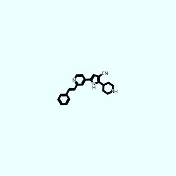 N#Cc1cc(-c2ccnc(C=Cc3ccccc3)c2)[nH]c1C1CCNCC1